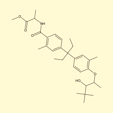 CCC(CC)(c1ccc(OC(C)C(O)C(C)(C)C)c(C)c1)c1ccc(C(=O)NC(C)C(=O)OC)c(C)c1